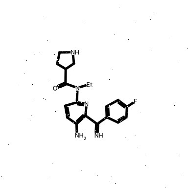 CCN(C(=O)C1CCNC1)c1ccc(N)c(C(=N)c2ccc(F)cc2)n1